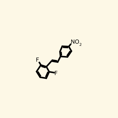 O=[N+]([O-])c1ccc(C=Cc2c(F)cccc2F)cc1